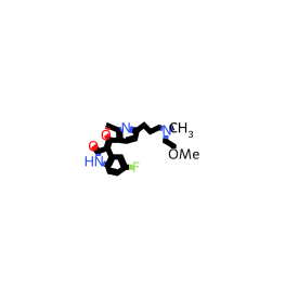 COCCN(C)CCCc1ccc2c(n1)CO/C2=C1\C(=O)Nc2ccc(F)cc21